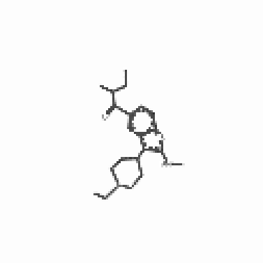 CCC(C)C(=O)c1ccc2sc(NC)c(C3CCN(CC)CC3)c2c1